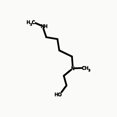 CNCCCCN(C)CCO